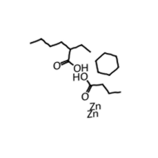 C1CCCCC1.CCCC(=O)O.CCCCC(CC)C(=O)O.[Zn].[Zn]